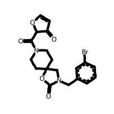 O=C1C=COC1C(=O)N1CCC2(CC1)CN(Cc1cccc(Br)c1)C(=O)O2